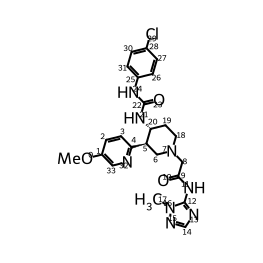 COc1ccc([C@@H]2CN(CC(=O)Nc3ncnn3C)CC[C@H]2NC(=O)Nc2ccc(Cl)cc2)nc1